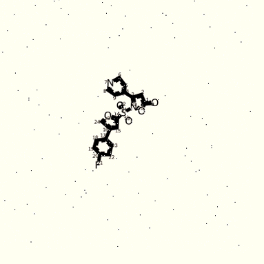 O=c1cc(-c2ccncc2)n(S(=O)(=O)c2cc(-c3ccc(F)cc3)co2)o1